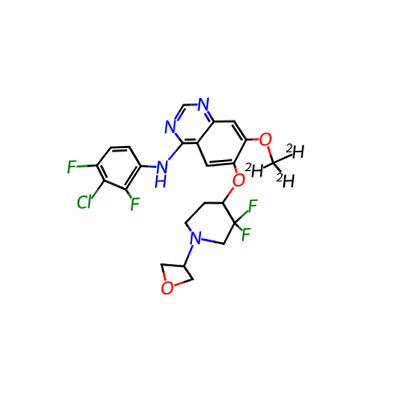 [2H]C([2H])([2H])Oc1cc2ncnc(Nc3ccc(F)c(Cl)c3F)c2cc1OC1CCN(C2COC2)CC1(F)F